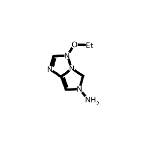 CCON1C=NC2=CN(N)CN21